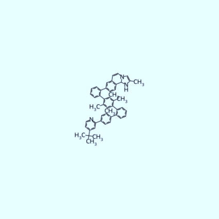 CC1=CN2C=Cc3cc(-c4ccccc4-c4c(C)c(C)c(-c5ccccc5-c5ccc(-c6cc(C(C)(C)C)ccn6)cc5)c(C)c4C)ccc3C2N1